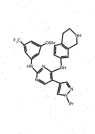 COc1cc(Nc2ncc(-c3cnn(C(C)C)c3)c(Nc3ccc4c(c3)CNCC4)n2)cc(C(F)(F)F)c1